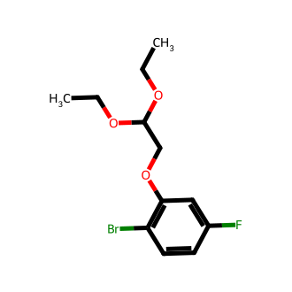 CCOC(COc1cc(F)ccc1Br)OCC